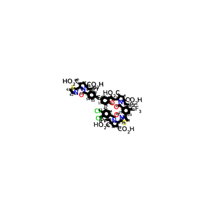 CC(C)CC1(C(=O)O)CC(C(=O)O)C(c2cc3ccccc3o2)N1C(=O)c1cccc(C(F)(F)F)c1.CC(C)CC1(C(=O)O)CC(C(=O)O)C(c2nccs2)N1C(=O)c1ccc(Cl)c(Cl)c1.CCc1ccc(C(=O)N2C(c3nccs3)C(C(=O)O)CC2(CC(C)C)C(=O)O)cc1